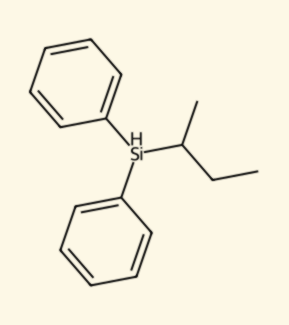 CCC(C)[SiH](c1ccccc1)c1ccccc1